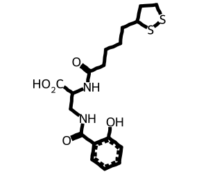 O=C(CCCCC1CCSS1)NC(CNC(=O)c1ccccc1O)C(=O)O